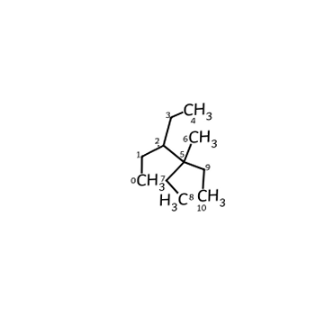 CC[C](CC)C(C)(CC)CC